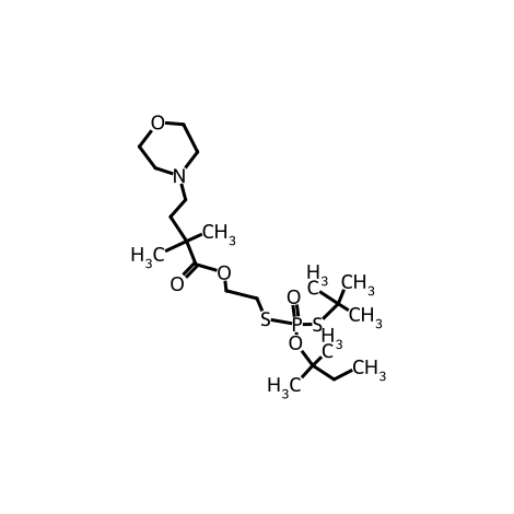 CCC(C)(C)OP(=O)(SCCOC(=O)C(C)(C)CCN1CCOCC1)SC(C)(C)C